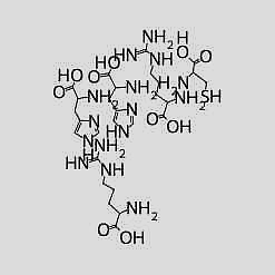 N=C(N)NCCCC(N)C(=O)O.N=C(N)NCCCC(N)C(=O)O.NC(CS)C(=O)O.NC(Cc1c[nH]cn1)C(=O)O.NC(Cc1c[nH]cn1)C(=O)O